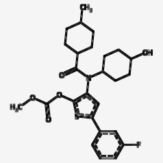 COC(=O)Oc1sc(-c2cccc(F)c2)cc1N(C(=O)C1CCC(C)CC1)C1CCC(O)CC1